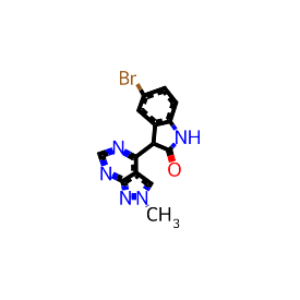 Cn1cc2c(C3C(=O)Nc4ccc(Br)cc43)ncnc2n1